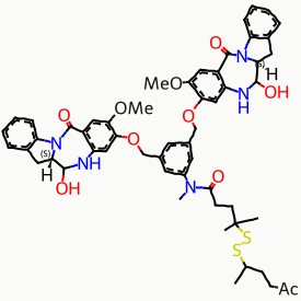 COc1cc2c(cc1OCc1cc(COc3cc4c(cc3OC)C(=O)N3c5ccccc5C[C@H]3C(O)N4)cc(N(C)C(=O)CCC(C)(C)SSC(C)CCC(C)=O)c1)NC(O)[C@@H]1Cc3ccccc3N1C2=O